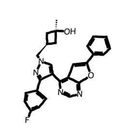 C[C@]1(O)C[C@@H](Cn2cc(-c3ncnc4oc(-c5ccccc5)cc34)c(-c3ccc(F)cc3)n2)C1